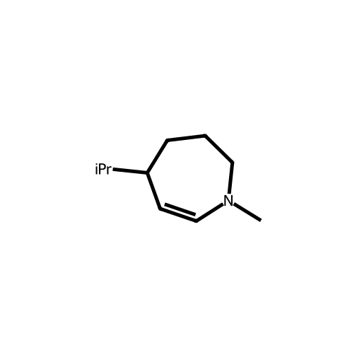 CC(C)C1C=CN(C)CCC1